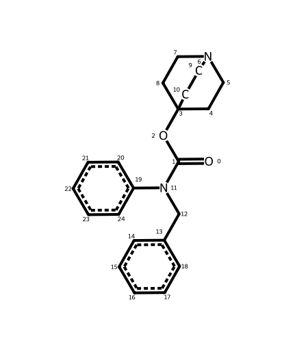 O=C(OC12CCN(CC1)CC2)N(Cc1ccccc1)c1ccccc1